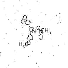 COc1ccc(C2CC(c3ccc4c(c3)OCO4)CN2CC(=O)N(C)c2ccccc2)cc1